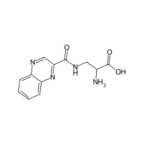 NC(CNC(=O)c1cnc2ccccc2n1)C(=O)O